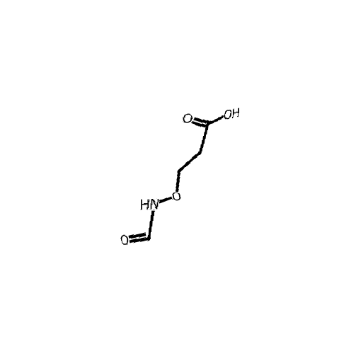 O=CNOCCC(=O)O